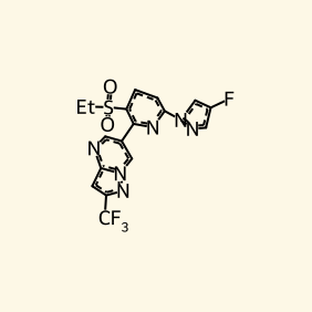 CCS(=O)(=O)c1ccc(-n2cc(F)cn2)nc1-c1cnc2cc(C(F)(F)F)nn2c1